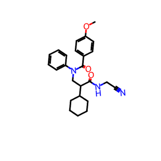 COc1ccc(C(=O)N(CC(C(=O)NCC#N)C2CCCCC2)c2ccccc2)cc1